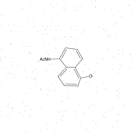 CC(=O)Nc1cccc2c([O])cccc12